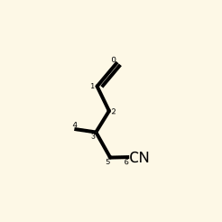 C=CCC(C)CC#N